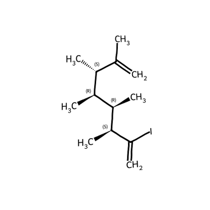 C=C(C)[C@@H](C)[C@H](C)[C@@H](C)[C@H](C)C(=C)I